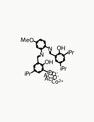 CC(=O)[O-].CC(=O)[O-].COc1ccc(N=Cc2cc(C(C)C)cc(C(C)C)c2O)c(N=Cc2cc(C(C)C)cc(C(C)C)c2O)c1.[Co+2]